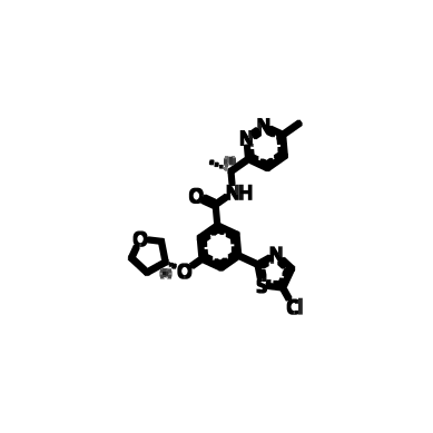 Cc1ccc([C@@H](C)NC(=O)c2cc(O[C@@H]3CCOC3)cc(-c3ncc(Cl)s3)c2)nn1